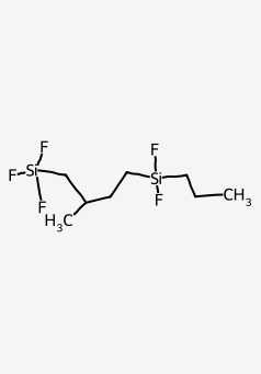 CCC[Si](F)(F)CCC(C)C[Si](F)(F)F